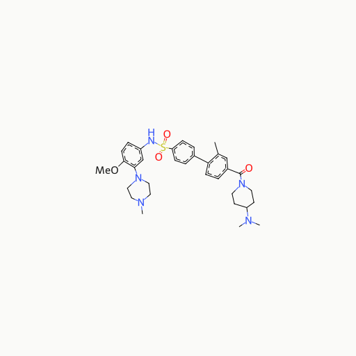 COc1ccc(NS(=O)(=O)c2ccc(-c3ccc(C(=O)N4CCC(N(C)C)CC4)cc3C)cc2)cc1N1CCN(C)CC1